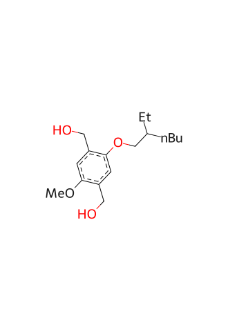 CCCCC(CC)COc1cc(CO)c(OC)cc1CO